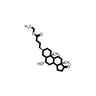 CCOC(=O)CCC[C@H]1CC[C@]2(C)C3CC[C@]4(C)C(=O)CCC4C3C[C@H](O)C2C1